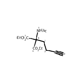 C#CCCC(NC(C)=O)(C(=O)OCC)C(=O)OCC